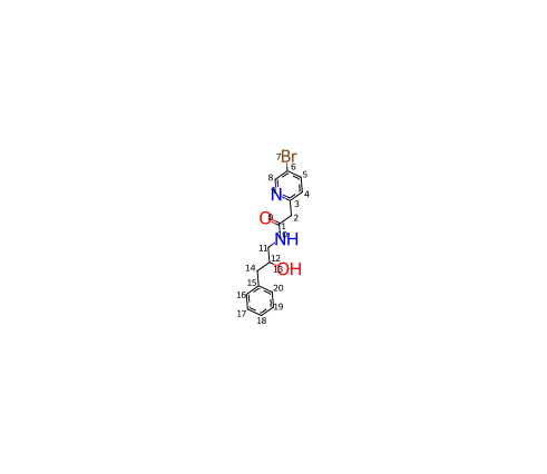 O=C(Cc1ccc(Br)cn1)NCC(O)Cc1ccccc1